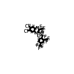 O=S(=O)(Cc1ccc(C(F)(F)F)cc1C(F)(F)F)c1nc2cc(Cl)c(Cl)cc2nc1C(F)(F)F